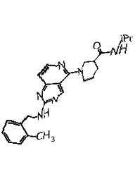 Cc1ccccc1CNc1ncc2c(N3CCCC(C(=O)NC(C)C)C3)nccc2n1